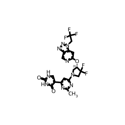 Cc1nc(-c2c[nH]c(=O)[nH]c2=O)cc(N2C[C@H](Oc3cc4c(cn3)nnn4CC(F)(F)F)C(F)(F)C2)n1